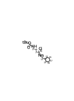 CC(C)(C)OC(=O)NCCC/C(CCl)=N/OCc1ccccc1